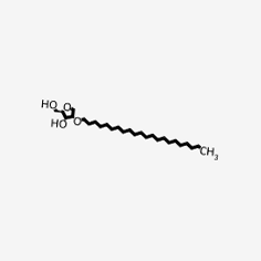 CCCCCCCCCCCCCCCCCCCCCCO[C@@H]1CO[C@H](CO)[C@H]1O